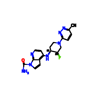 N#Cc1ccc(N2CC[C@H](Nc3ccnc4c3ccn4C(N)=O)[C@H](F)C2)nn1